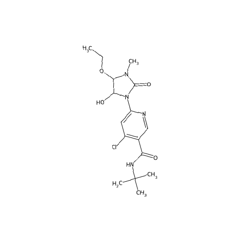 CCOC1C(O)N(c2cc(Cl)c(C(=O)NC(C)(C)C)cn2)C(=O)N1C